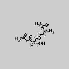 CC(=O)CC(=O)N[C@@H](CO)COCC[C@@H](C)OC(C)=O